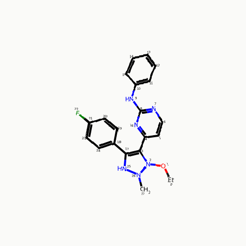 CCON1C(c2ccnc(Nc3ccccc3)n2)=C(c2ccc(F)cc2)NN1C